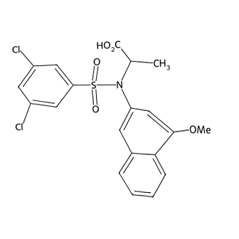 COc1cc(N(C(C)C(=O)O)S(=O)(=O)c2cc(Cl)cc(Cl)c2)cc2ccccc12